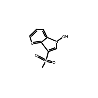 CS(=O)(=O)c1cn(O)c2cccnc12